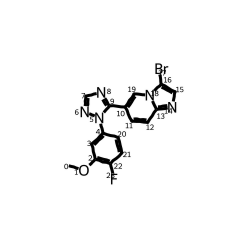 COc1cc(-n2ncnc2-c2ccc3ncc(Br)n3c2)ccc1F